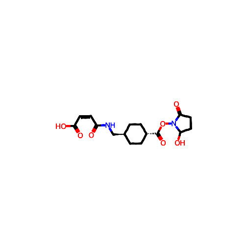 O=C(O)/C=C\C(=O)NC[C@H]1CC[C@H](C(=O)ON2C(=O)CCC2O)CC1